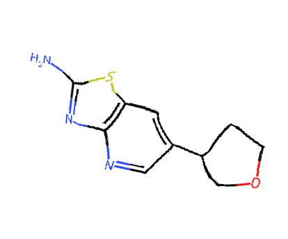 Nc1nc2ncc(C3CCOC3)cc2s1